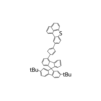 CC(C)(C)c1ccc2c(c1)C1(c3cc(C(C)(C)C)ccc3-2)c2ccccc2-c2c(C3C=CC(c4ccc5c(c4)-c4cccc6cccc(c46)S5)=CC3)cccc21